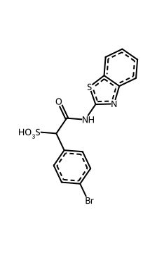 O=C(Nc1nc2ccccc2s1)C(c1ccc(Br)cc1)S(=O)(=O)O